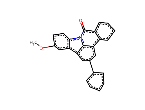 COc1ccc2c(c1)c1cc(-c3ccccc3)cc3c4ccccc4c(=O)n2c31